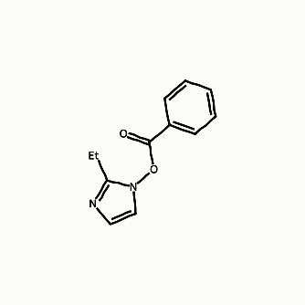 CCc1nccn1OC(=O)c1ccccc1